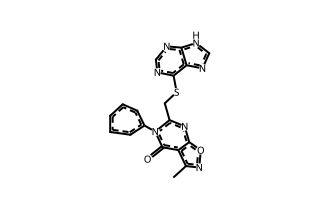 Cc1noc2nc(CSc3ncnc4[nH]cnc34)n(-c3ccccc3)c(=O)c12